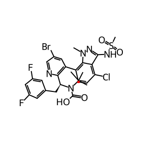 Cn1nc(NS(C)(=O)=O)c2c(Cl)ccc(-c3cc(Br)cnc3[C@H](Cc3cc(F)cc(F)c3)N(C(=O)O)C(C)(C)C)c21